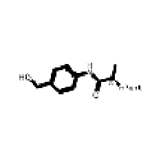 CCCCC[C@H](C)C(=O)Nc1ccc(CO)cc1